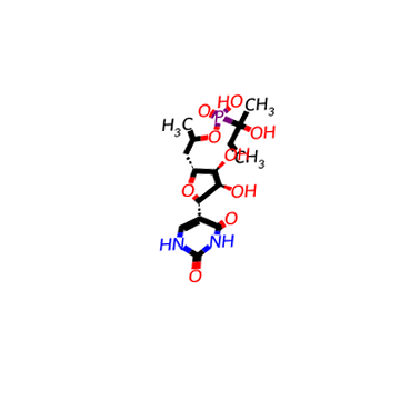 CCC(C)(O)P(=O)(O)OC(C)C[C@H]1O[C@@H](c2c[nH]c(=O)[nH]c2=O)[C@H](O)[C@@H]1O